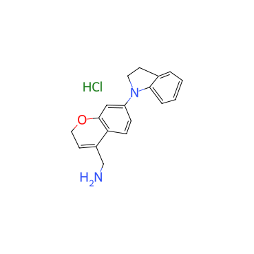 Cl.NCC1=CCOc2cc(N3CCc4ccccc43)ccc21